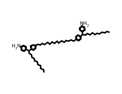 CCCCCCCCCCCC(c1ccc(N)cc1)c1ccc(CCCCCCCCCCCCCCCCc2ccc(C(CCCCCCCCCCC)c3ccc(N)cc3)cc2)cc1